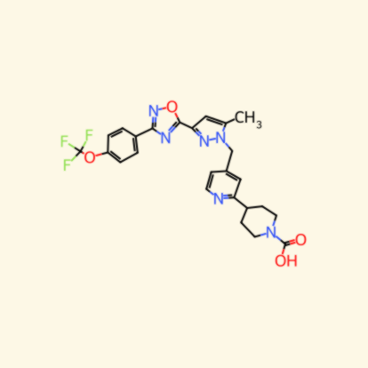 Cc1cc(-c2nc(-c3ccc(OC(F)(F)F)cc3)no2)nn1Cc1ccnc(C2CCN(C(=O)O)CC2)c1